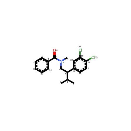 CC(C)C(CN(C)C(=O)c1ccccc1)c1ccc(Cl)c(Cl)c1